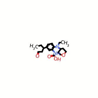 CCC(CC=O)c1ccc(N(CC)C2CCOCC2)c(NC(=O)O)c1